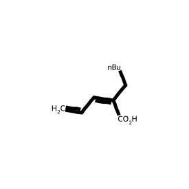 C=CC=C(CCCCC)C(=O)O